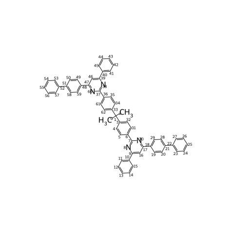 CC(C)(c1ccc(-c2nc(-c3ccccc3)cc(-c3ccc(-c4ccccc4)cc3)n2)cc1)c1ccc(-c2nc(-c3ccccc3)cc(-c3ccc(-c4ccccc4)cc3)n2)cc1